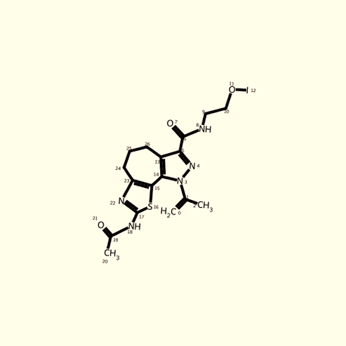 C=C(C)n1nc(C(=O)NCCOI)c2c1-c1sc(NC(C)=O)nc1CCC2